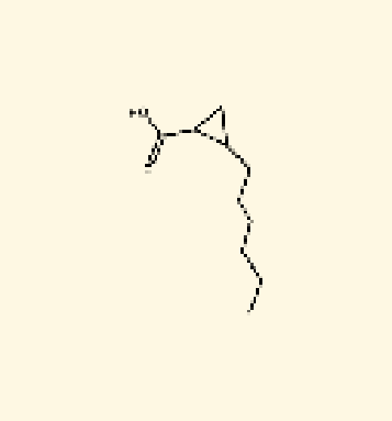 CCCCCCC1CC1C(=O)O